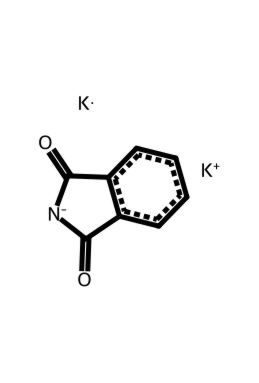 O=C1[N-]C(=O)c2ccccc21.[K+].[K]